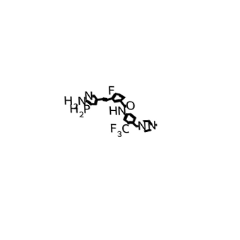 CN1CCN(Cc2ccc(NC(=O)c3ccc(F)c(C#Cc4cnc(N)c(P)c4)c3)cc2C(F)(F)F)CC1